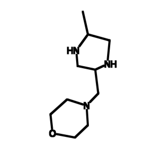 CC1CNC(CN2CCOCC2)CN1